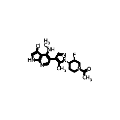 CNc1c(-c2cnn([C@H]3CCN(C(C)=O)C[C@@H]3F)c2C)cnc2[nH]cc(Cl)c12